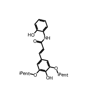 CCCC(C)Oc1cc(C=CC(=O)Nc2ccccc2O)cc(OC(C)CCC)c1O